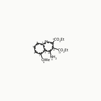 CCOC(=O)c1nc2cccc(OC)c2c(N)c1C(=O)OCC